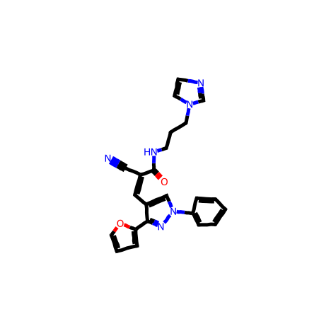 N#CC(=Cc1cn(-c2ccccc2)nc1-c1ccco1)C(=O)NCCCn1ccnc1